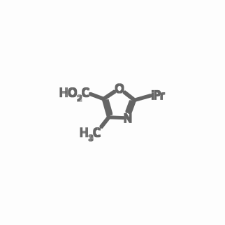 Cc1nc(C(C)C)oc1C(=O)O